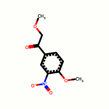 COCC(=O)c1ccc(OC)c([N+](=O)[O-])c1